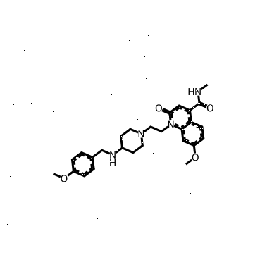 CNC(=O)c1cc(=O)n(CCN2CCC(NCc3ccc(OC)cc3)CC2)c2cc(OC)ccc12